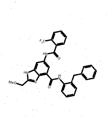 COCc1nc2c(C(=O)Nc3ccccc3Cc3ccccc3)cc(NC(=O)c3ccccc3C(F)(F)F)cc2[nH]1